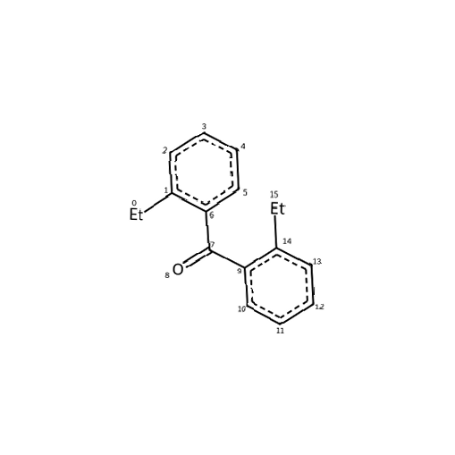 CCc1ccccc1C(=O)c1ccccc1CC